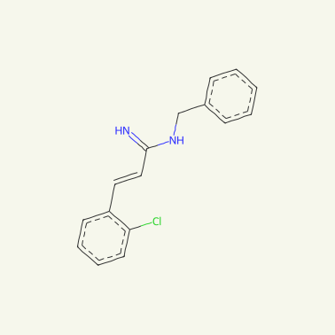 N=C(/C=C/c1ccccc1Cl)NCc1ccccc1